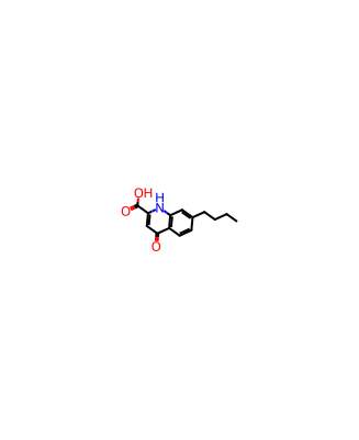 CCCCc1ccc2c(=O)cc(C(=O)O)[nH]c2c1